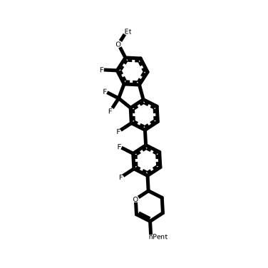 CCCCCC1=COC(c2ccc(-c3ccc4c(c3F)C(F)(F)c3c-4ccc(OCC)c3F)c(F)c2F)CC1